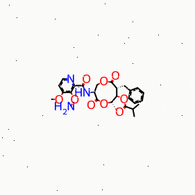 COc1ccnc(C(=O)N[C@H]2COC(=O)[C@H](Cc3ccccc3)[C@@H](OC(=O)C(C)C)[C@H](C)OC2=O)c1ON